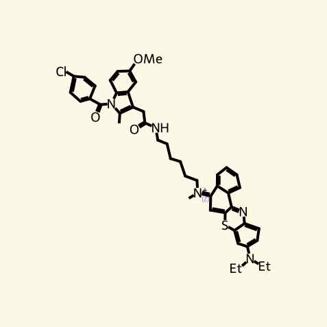 CCN(CC)c1ccc2nc3c4ccccc4/c(=[N+](/C)CCCCCCNC(=O)Cc4c(C)n(C(=O)c5ccc(Cl)cc5)c5ccc(OC)cc45)cc-3sc2c1